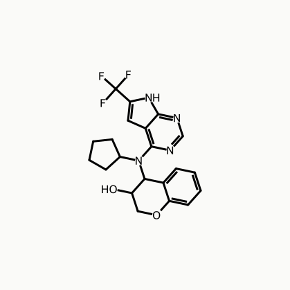 OC1COc2ccccc2C1N(c1ncnc2[nH]c(C(F)(F)F)cc12)C1CCCC1